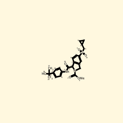 COC(=O)N1Cc2cc(S(=O)(=O)CC3CC3)ccc2C1C(=O)Nc1ccc(C(C)(O)C(F)(F)F)cc1